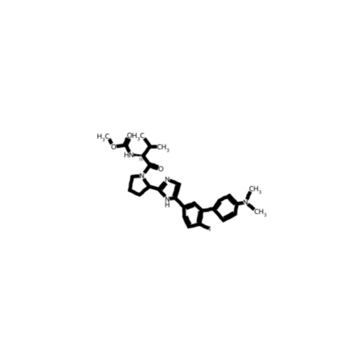 COC(=O)N[C@H](C(=O)N1CCCC1c1ncc(-c2ccc(I)c(-c3ccc(N(C)C)cc3)c2)[nH]1)C(C)C